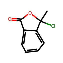 CC1(Cl)OC(=O)c2ccccc21